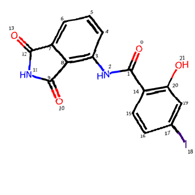 O=C(Nc1cccc2c1C(=O)NC2=O)c1ccc(I)cc1O